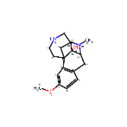 COc1ccc2c(c1)C13CCNCCC1(O)C(C2)N(C)CC3